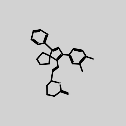 Cc1cc(C2=C(C=CC3CCCC(=O)O3)C3(CCCC3)C(c3ccccc3)=C2)ccc1F